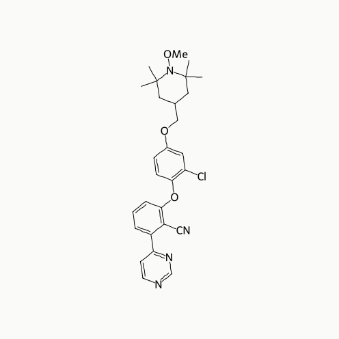 CON1C(C)(C)CC(COc2ccc(Oc3cccc(-c4ccncn4)c3C#N)c(Cl)c2)CC1(C)C